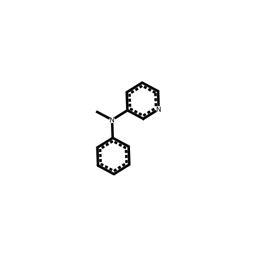 CN(c1[c]nccc1)c1ccccc1